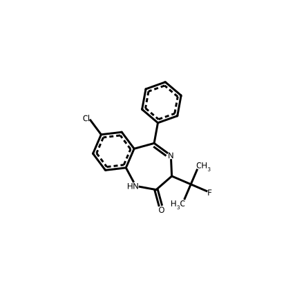 CC(C)(F)C1N=C(c2ccccc2)c2cc(Cl)ccc2NC1=O